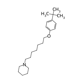 CC(C)(C)c1ccc(OCCCCCCCN2CCCCC2)cc1